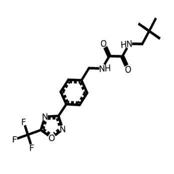 CC(C)(C)CNC(=O)C(=O)NCc1ccc(-c2noc(C(F)(F)F)n2)cc1